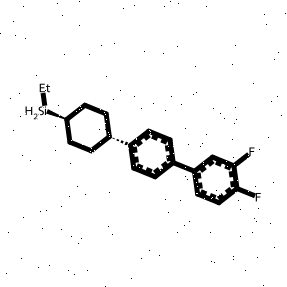 CC[SiH2][C@H]1CC[C@H](c2ccc(-c3ccc(F)c(F)c3)cc2)CC1